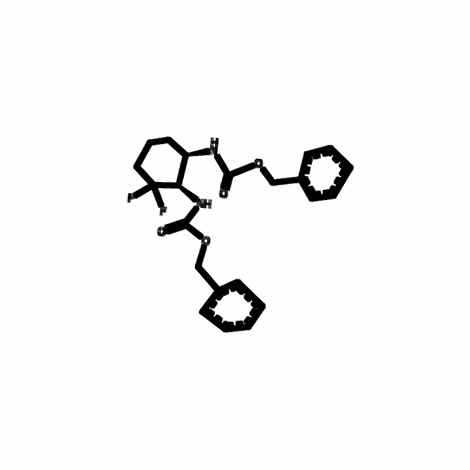 O=C(N[C@@H]1[C@H](NC(=O)OCc2ccccc2)CCCC1(F)F)OCc1ccccc1